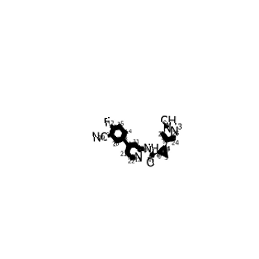 Cn1cc([C@@H]2C[C@H]2C(=O)Nc2cc(-c3ccc(F)c(C#N)c3)ccn2)cn1